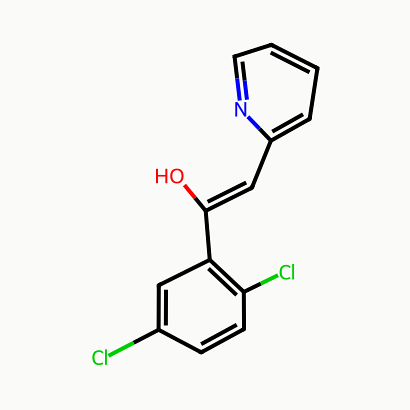 OC(=Cc1ccccn1)c1cc(Cl)ccc1Cl